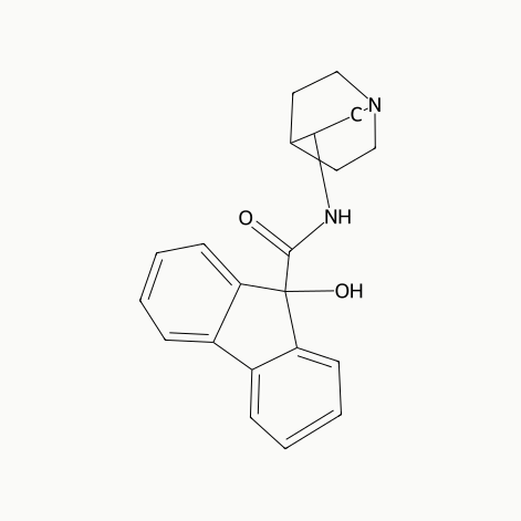 O=C(NC1CN2CCC1CC2)C1(O)c2ccccc2-c2ccccc21